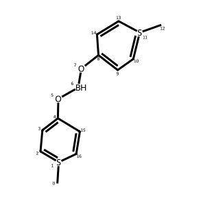 CS1=CC=C(OBOC2=CC=S(C)C=C2)C=C1